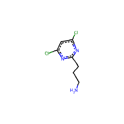 NCCCc1nc(Cl)cc(Cl)n1